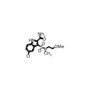 COCCN(C)S(=O)(=O)c1c(C(N)=O)[nH]c2ccc(Cl)cc12